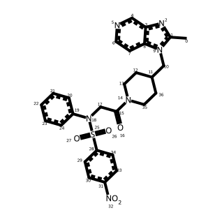 Cc1nc2cnccc2n1CC1CCN(C(=O)CN(c2ccccc2)S(=O)(=O)c2ccc([N+](=O)[O-])cc2)CC1